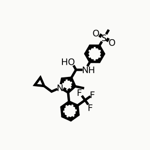 Cc1c(C(O)Nc2ccc(S(C)(=O)=O)cc2)cn(CC2CC2)c1-c1ccccc1C(F)(F)F